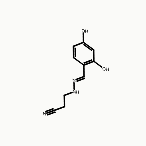 N#CCCNN=Cc1ccc(O)cc1O